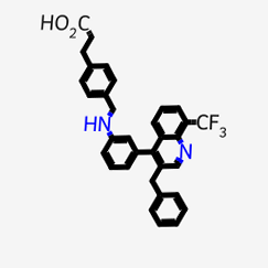 O=C(O)CCc1ccc(CNc2cccc(-c3c(Cc4ccccc4)cnc4c(C(F)(F)F)cccc34)c2)cc1